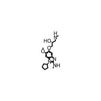 CNC[C@@H](O)COc1cc2nc(NC)n(C3CCCC3)c2cc1OC